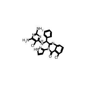 Nc1nc(N)c(Cl)c(NC(c2ccccc2)c2nc3cccc(Cl)c3c(=O)n2-c2cc[nH]n2)n1